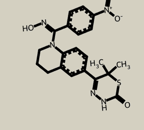 CC1(C)SC(=O)NN=C1c1ccc2c(c1)CCCN2/C(=N\O)c1ccc([N+](=O)[O-])cc1